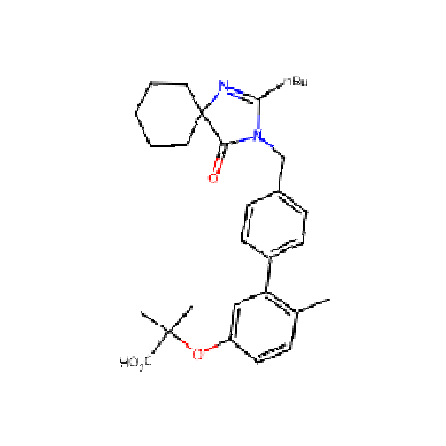 CCCCC1=NC2(CCCCC2)C(=O)N1Cc1ccc(-c2cc(OC(C)(C)C(=O)O)ccc2C)cc1